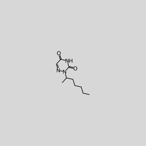 CCCCCC(C)n1ncc(=O)[nH]c1=O